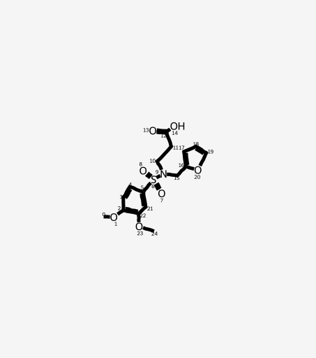 COc1ccc(S(=O)(=O)N(CCC(=O)O)Cc2ccco2)cc1OC